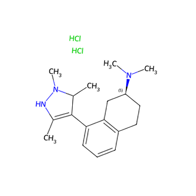 CC1=C(c2cccc3c2C[C@@H](N(C)C)CC3)C(C)N(C)N1.Cl.Cl